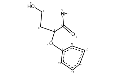 [NH]C(=O)C(CCO)Oc1ccccc1